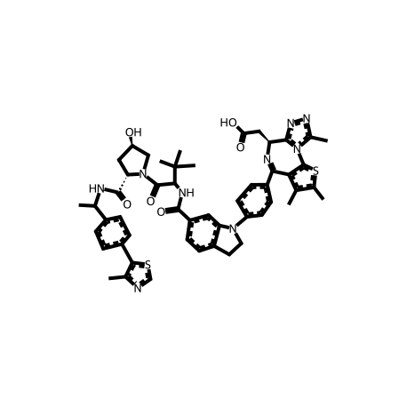 Cc1ncsc1-c1ccc(C(C)NC(=O)[C@@H]2C[C@@H](O)CN2C(=O)C(NC(=O)c2ccc3c(c2)N(c2ccc(C4=N[C@@H](CC(=O)O)c5nnc(C)n5-c5sc(C)c(C)c54)cc2)CC3)C(C)(C)C)cc1